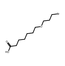 O=C(O)CCCCCCOCCCBr